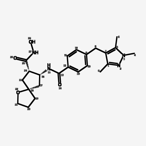 Cc1nn(C)c(C)c1Cc1ccc(C(=O)N[C@@H]2C[C@@]3(CCCO3)C[C@@H]2C(=O)NO)cc1